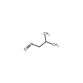 CC(C)CN=O